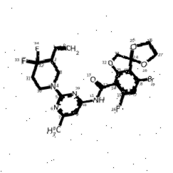 C=CC1CN(c2nc(C)cc(NC(=O)c3c(F)cc(Br)c4c3OCC43OCCO3)n2)CCC1(F)F